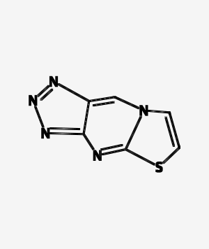 c1cn2cc3nnnc-3nc2s1